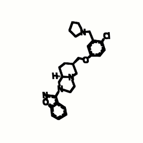 Clc1ccc(OC[C@@H]2CC[C@@H]3CN(c4noc5ccccc45)CCN3C2)cc1CN1CCCC1